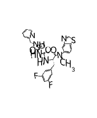 CN(C(=O)[C@H](Cc1cc(F)cc(F)c1)NC(=O)NS(=O)(=O)NCc1ccccn1)c1ccc2scnc2c1